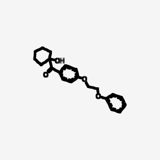 O=C(c1ccc(OCCOc2ccccc2)cc1)C1(O)CCCCC1